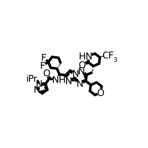 CC(C)n1nccc1C(=O)N[C@H](c1cn2nc(C[C@H]3C[C@@H](C(F)(F)F)CNC3=O)c(C3CCOCC3)nc2n1)[C@H]1CCCC(F)(F)C1